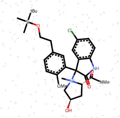 CNC(=O)[C@@H]1C[C@@H](O)C[N+]1(C)C1(c2cc(CCO[Si](C)(C)C(C)(C)C)ccc2OC)C(=O)Nc2ccc(Cl)cc21